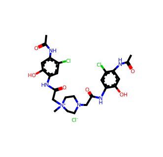 CC(=O)Nc1cc(O)c(NC(=O)CN2CC[N+](C)(CC(=O)Nc3cc(Cl)c(NC(C)=O)cc3O)CC2)cc1Cl.[Cl-]